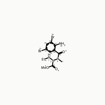 CCNN(C(=O)OC)N(C)C(=O)c1cc(Br)cc(Br)c1N